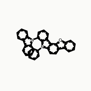 c1ccc(-n2c3ccc4c5ccccc5oc4c3c3cccc(-n4c5ccccc5c5ccccc54)c32)cc1